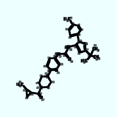 Cc1ccc(-n2nc(C(C)(C)C)cc2NC(=O)Nc2ccc(N3CCN(C(=O)C4CC4C)CC3)nc2)cc1